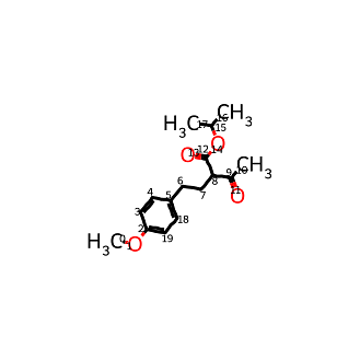 COc1ccc(CCC(C(C)=O)C(=O)OC(C)C)cc1